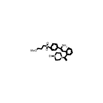 C=C(c1ccccc1/C=C(\N)c1ccc(S(=O)(=O)CCCOC)cc1)N1CCN(CC)CC1